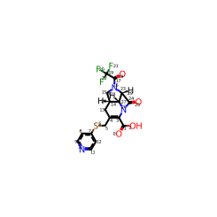 O=C(O)C1=C(CSc2ccncc2)C[C@@H]2CN(C(=O)C(F)(F)F)[C@@H]3C(=O)N1[C@H]23